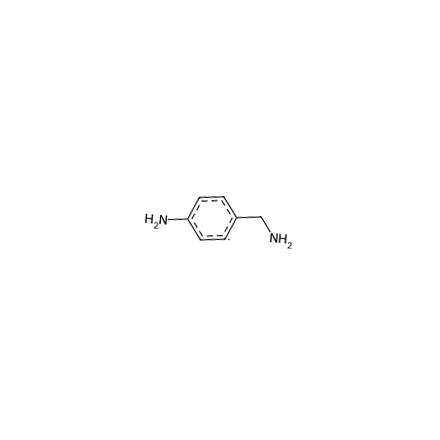 NCc1[c]cc(N)cc1